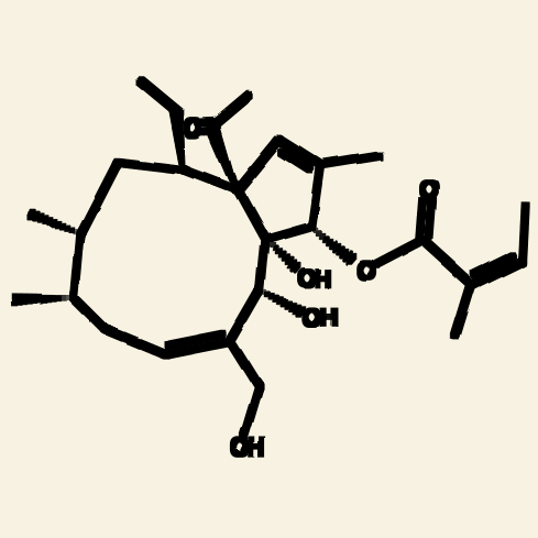 C/C=C(/C)C(=O)O[C@H]1C(C)=C[C@@]2(C(C)=O)[C@H](CC)C[C@@H](C)[C@@H](C)C/C=C(/CO)[C@@H](O)[C@]12O